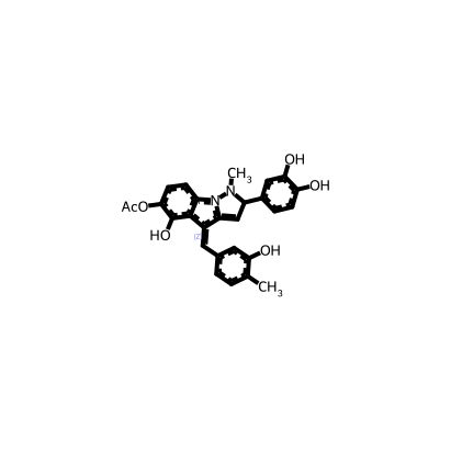 CC(=O)Oc1ccc2c(c1O)/c(=C/c1ccc(C)c(O)c1)c1n2N(C)C(c2ccc(O)c(O)c2)C=1